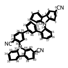 N#Cc1ccc2c(c1)c1ccccc1n2-c1ccccc1-c1cccc(-c2ccc(C#N)c(-n3c4ccccc4c4ccc(C#N)cc43)c2)c1